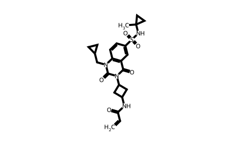 C=CC(=O)NC1CC(n2c(=O)c3cc(S(=O)(=O)NC4(C)CC4)ccc3n(CC3CC3)c2=O)C1